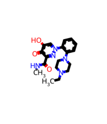 CCN1CCN(c2ccccc2-n2cc(O)c(=O)c(C(=O)NC)n2)CC1